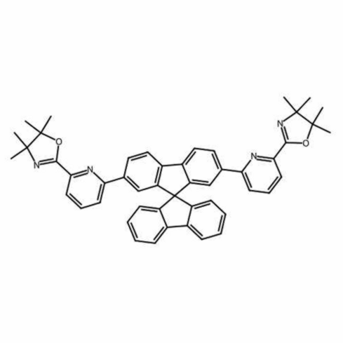 CC1(C)N=C(c2cccc(-c3ccc4c(c3)C3(c5ccccc5-c5ccccc53)c3cc(-c5cccc(C6=NC(C)(C)C(C)(C)O6)n5)ccc3-4)n2)OC1(C)C